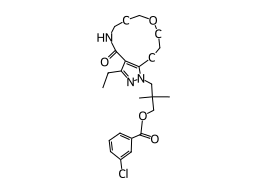 CCc1nn(CC(C)(C)COC(=O)c2cccc(Cl)c2)c2c1C(=O)NCCCOCCC2